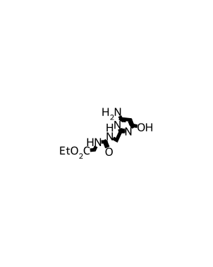 CCOC(=O)CNC(=O)NCc1nc(N)cc(O)n1